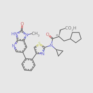 Cn1c(=O)[nH]c2ncc(-c3ccccc3-c3csc(N(C(=O)[C@@H](CC(=O)O)CC4CCCC4)C4CC4)n3)cc21